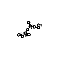 c1ccc(-c2cc(-c3ccc(-c4ccc(-c5cccc6c5oc5ccccc56)c5oc6ccccc6c45)cc3)nc(-c3ccc(-c4cccc5ncccc45)cc3)n2)cc1